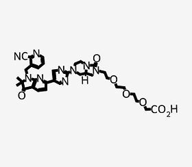 CC1(C)C(=O)c2ccc(-c3cnc(N4CCN5C(=O)N(CCOCCOCCOCC(=O)O)C[C@@H]5C4)nc3)nc2N1Cc1cccnc1C#N